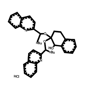 CCCCC(OC1(OC(CCCC)c2ccc3ccccc3n2)CCc2ccccc2C1O)c1ccc2ccccc2n1.Cl